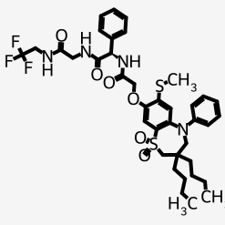 CCCCC1(CCCC)CN(c2ccccc2)c2cc(SC)c(OCC(=O)N[C@@H](C(=O)NCC(=O)NCC(F)(F)F)c3ccccc3)cc2S(=O)(=O)C1